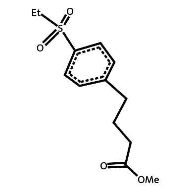 CCS(=O)(=O)c1ccc(CCCC(=O)OC)cc1